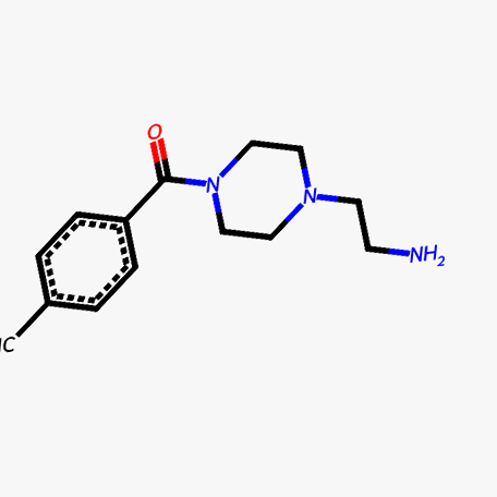 N#Cc1ccc(C(=O)N2CCN(CCN)CC2)cc1